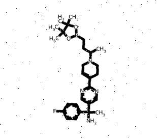 CC(CCB1OC(C)(C)C(C)(C)O1)N1CC=C(c2ncc(C(C)(N)c3ccc(F)cc3)cn2)CC1